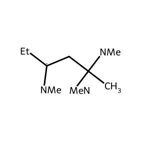 CC[C](CC(C)(NC)NC)NC